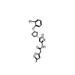 Cc1cc(CC(=O)Nc2cc([C@@H]3CC[C@H](Oc4ccccc4C(C)C)C3)[nH]n2)on1